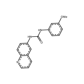 COc1cccc(NC(=O)Nc2ccc3ncccc3c2)c1